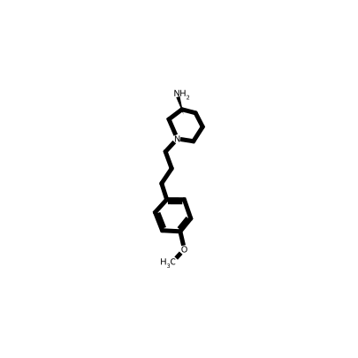 COc1ccc(CCCN2CCC[C@H](N)C2)cc1